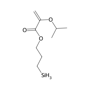 C=C(OC(C)C)C(=O)OCCC[SiH3]